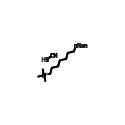 CCCCCCCCCCCCCCCC[N+](C)(C)C.N#CS